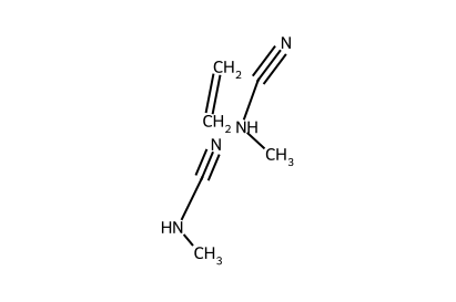 C=C.CNC#N.CNC#N